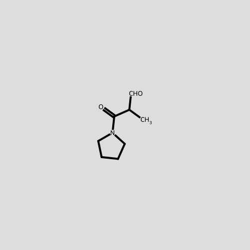 CC(C=O)C(=O)N1CCCC1